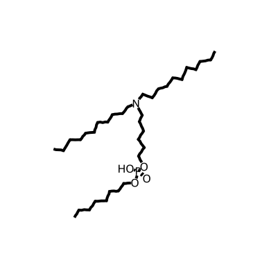 CCCCCCCCCCCN(CCCCCCCCCCC)CCCCCCOP(=O)(O)OCCCCCCCC